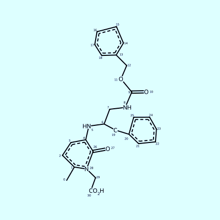 Cc1ccc(NC(CNC(=O)OCc2ccccc2)Cc2ccccc2)c(=O)n1CC(=O)O